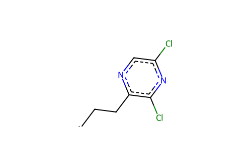 [CH2]CCc1ncc(Cl)nc1Cl